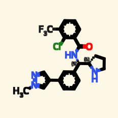 Cn1cc(-c2cccc([C@H](NC(=O)c3cccc(C(F)(F)F)c3Cl)[C@@H]3CCCN3)c2)cn1